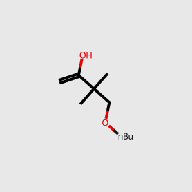 C=C(O)C(C)(C)COCCCC